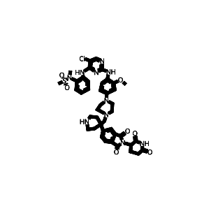 COc1cc(N2CCN(CC3(c4ccc5c(c4)C(=O)N(C4CCC(=O)NC4=O)C5=O)CCNCC3)CC2)ccc1Nc1ncc(Cl)c(Nc2ccccc2N(C)S(C)(=O)=O)n1